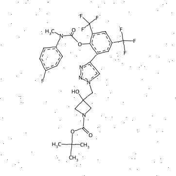 CN(C(=O)Oc1c(-c2cn(CC3(O)CN(C(=O)OC(C)(C)C)C3)nn2)cc(C(F)(F)F)cc1C(F)(F)F)c1ccc(F)cc1